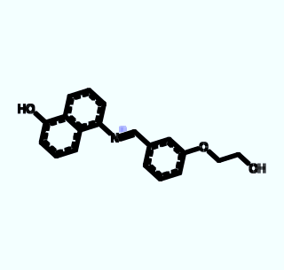 OCCOc1cccc(/C=N/c2cccc3c(O)cccc23)c1